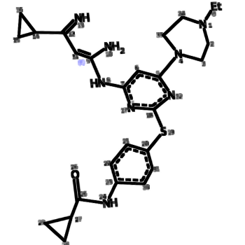 CCN1CCN(c2cc(N/C(N)=C/C(=N)C3CC3)nc(Sc3ccc(NC(=O)C4CC4)cc3)n2)CC1